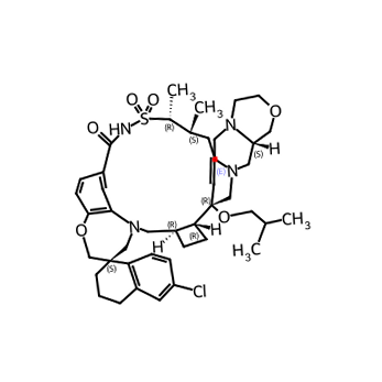 CC(C)CO[C@@]1(CN2CCN3CCOC[C@@H]3C2)/C=C/C[C@H](C)[C@@H](C)S(=O)(=O)NC(=O)c2ccc3c(c2)N(C[C@@H]2CC[C@H]21)C[C@@]1(CCCc2cc(Cl)ccc21)CO3